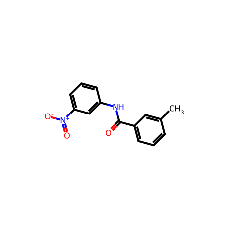 Cc1cccc(C(=O)Nc2cccc([N+](=O)[O-])c2)c1